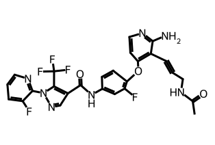 CC(=O)NCC#Cc1c(Oc2ccc(NC(=O)c3cnn(-c4ncccc4F)c3C(F)(F)F)cc2F)ccnc1N